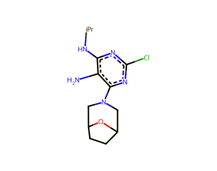 CC(C)Nc1nc(Cl)nc(N2CC3CCC(C2)O3)c1N